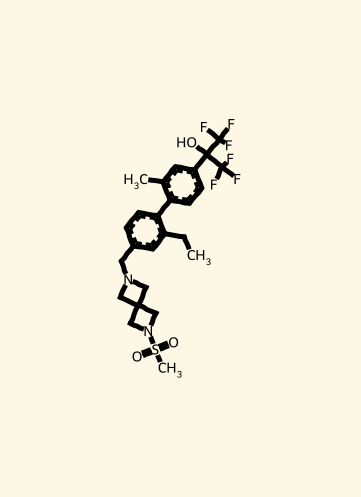 CCc1cc(CN2CC3(C2)CN(S(C)(=O)=O)C3)ccc1-c1ccc(C(O)(C(F)(F)F)C(F)(F)F)cc1C